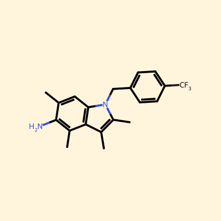 Cc1cc2c(c(C)c1N)c(C)c(C)n2Cc1ccc(C(F)(F)F)cc1